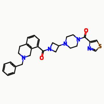 O=C(c1cscn1)N1CCN(C2CN(C(=O)c3cccc4c3CN(Cc3ccccc3)CC4)C2)CC1